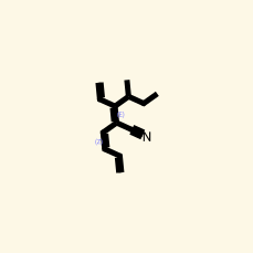 C=C/C=C\C(C#N)=C(/C=C)C(C)CC